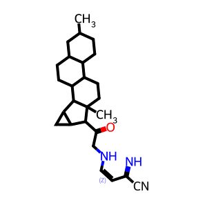 CC1CCC2C(CCC3C2CCC2(C)C(C(=O)CN/C=C\C(=N)C#N)C4CC4C32)C1